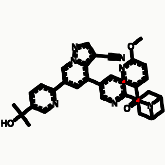 COc1ccc(C(=O)N2C3CC2CN(c2ccc(-c4cc(-c5ccc(C(C)(C)O)cn5)cn5ncc(C#N)c45)cn2)C3)cn1